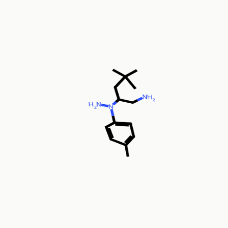 Cc1ccc(N(N)C(CN)CC(C)(C)C)cc1